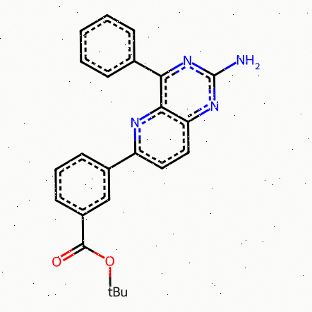 CC(C)(C)OC(=O)c1cccc(-c2ccc3nc(N)nc(-c4ccccc4)c3n2)c1